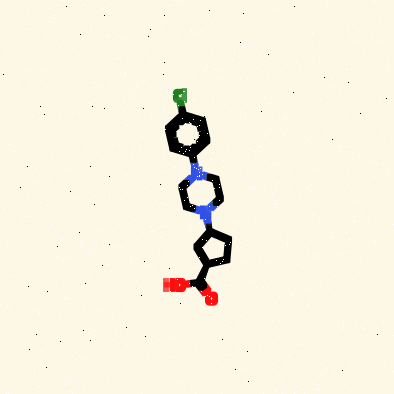 O=C(O)[C@@H]1CC[C@H](N2CCN(c3ccc(Cl)cc3)CC2)C1